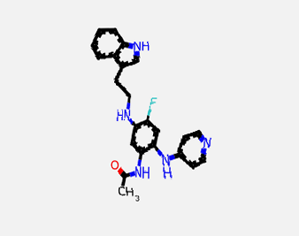 CC(=O)Nc1cc(NCCc2c[nH]c3ccccc23)c(F)cc1Nc1ccncc1